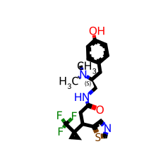 CN(C)[C@H](CNC(=O)CC(c1cncs1)C1(C(F)(F)F)CC1)Cc1ccc(O)cc1